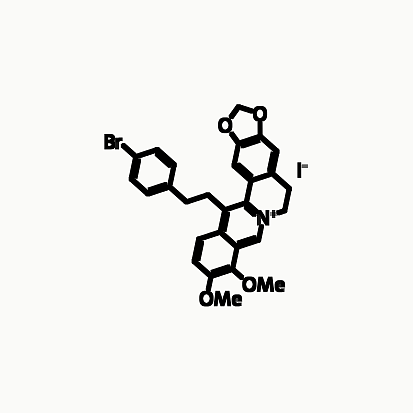 COc1ccc2c(CCc3ccc(Br)cc3)c3[n+](cc2c1OC)CCc1cc2c(cc1-3)OCO2.[I-]